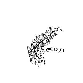 CCOC(C)=O.FC(F)(F)O[Si](OC(F)(F)F)(OC(F)(F)F)C(F)(F)C(F)(F)C(F)(F)C(F)(F)C(F)(F)C(F)(F)C(F)(F)C(F)(F)C(F)(F)C(F)(F)C(F)(F)C(F)(F)F